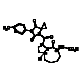 O=C(O)N[C@H]1CCCC[C@H]2CC[C@@H](C(=O)N3C(=O)N(c4ccc(C(F)(F)F)nc4)C(=O)C34CC4)N2C1=O